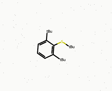 CC(C)(C)Sc1c(C(C)(C)C)cccc1C(C)(C)C